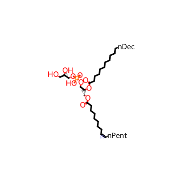 CCCCC/C=C\CCCCCCCC(=O)OC[C@H](COP(=O)(O)OC[C@@H](O)CO)OC(=O)CCCCCCCCCCCCCCCCCCCC